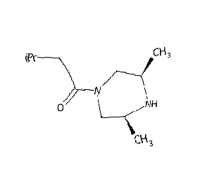 CC(C)CC(=O)N1C[C@@H](C)N[C@@H](C)C1